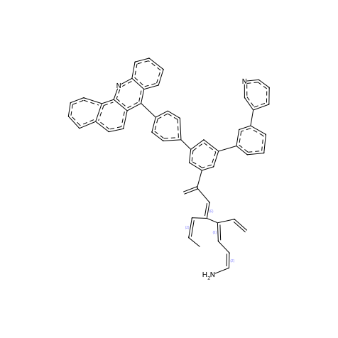 C=CC(=C\C=C/N)/C(/C=C\C)=C/C(=C)c1cc(-c2ccc(-c3c4ccccc4nc4c3ccc3ccccc34)cc2)cc(-c2cccc(-c3cccnc3)c2)c1